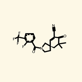 CC1(C)C[C@@]2(C=C(C#N)C1=O)CCN(C(=O)c1cccc(C(F)(F)F)c1F)C2